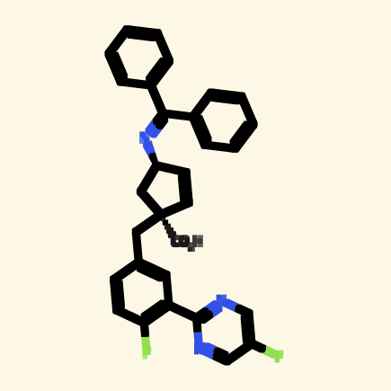 O=C(O)[C@@]1(Cc2ccc(F)c(-c3ncc(F)cn3)c2)C=C[C@H](N=C(c2ccccc2)c2ccccc2)C1